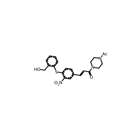 CC(=O)N1CCN(C(=O)C=Cc2ccc(Sc3ccccc3CO)c([N+](=O)[O-])c2)CC1